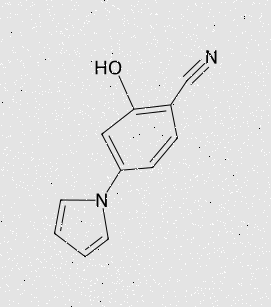 N#Cc1ccc(-n2cccc2)cc1O